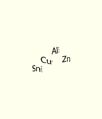 [Al].[Cu].[Sn].[Zn]